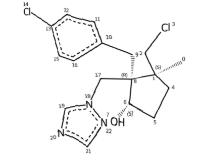 C[C@]1(CCl)CC[C@H](O)[C@@]1(Cc1ccc(Cl)cc1)Cn1cncn1